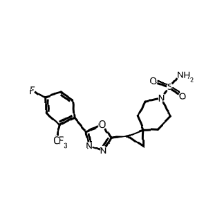 NS(=O)(=O)N1CCC2(CC1)C[C@H]2c1nnc(-c2ccc(F)cc2C(F)(F)F)o1